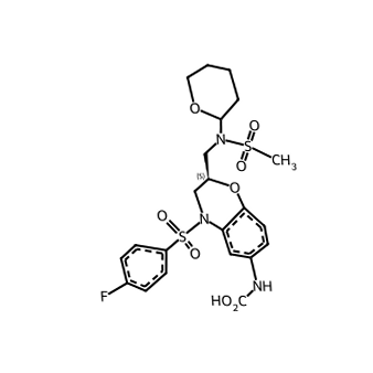 CS(=O)(=O)N(C[C@@H]1CN(S(=O)(=O)c2ccc(F)cc2)c2cc(NC(=O)O)ccc2O1)C1CCCCO1